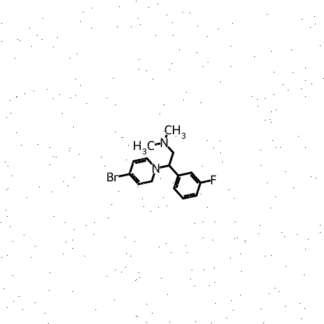 CN(C)CC(c1cccc(F)c1)N1C=CC(Br)=CC1